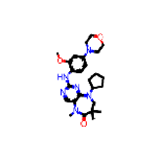 COc1cc(N2CCOCC2)ccc1Nc1ncc2c(n1)N(C1CCCC1)CC(C)(C)C(=O)N2C